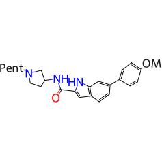 CCCCCN1CCC(NC(=O)c2cc3ccc(-c4ccc(OC)cc4)cc3[nH]2)C1